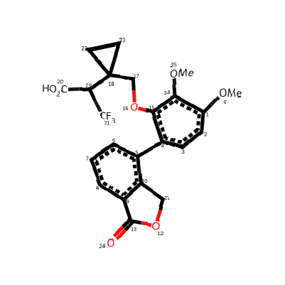 COc1ccc(-c2cccc3c2COC3=O)c(OCC2(C(C(=O)O)C(F)(F)F)CC2)c1OC